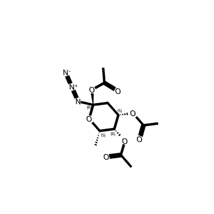 CC(=O)O[C@@H]1[C@H](C)O[C@@](N=[N+]=[N-])(OC(C)=O)C[C@@H]1OC(C)=O